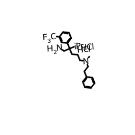 CC(C)C(CN)(CCCN(C)CCc1ccccc1)c1cccc(C(F)(F)F)c1.Cl.Cl